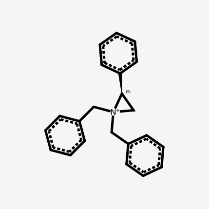 c1ccc(C[N+]2(Cc3ccccc3)C[C@@H]2c2ccccc2)cc1